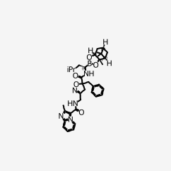 Cc1nc2ccccn2c1C(=O)NCC1=NOC(Cc2ccccc2)(C(=O)N[C@@H](CC(C)C)B2O[C@@H]3C[C@@H]4C[C@@H](C4(C)C)[C@]3(C)O2)C1